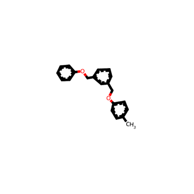 Cc1ccc(OCc2cccc(COc3ccccc3)c2)cc1